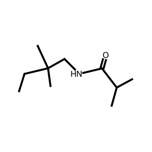 CCC(C)(C)CNC(=O)C(C)C